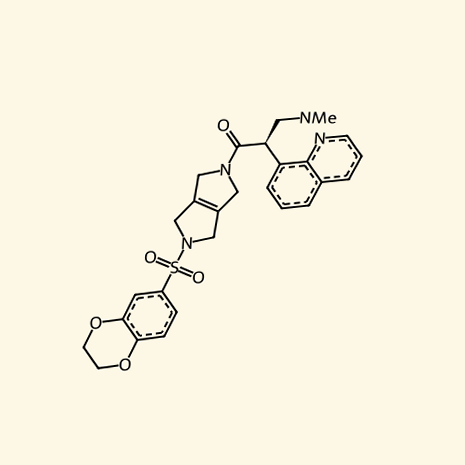 CNC[C@H](C(=O)N1CC2=C(C1)CN(S(=O)(=O)c1ccc3c(c1)OCCO3)C2)c1cccc2cccnc12